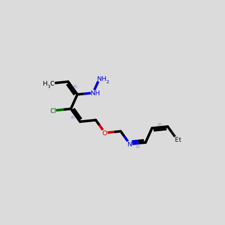 C/C=C(NN)\C(Cl)=C/COC/N=C\C=C/CC